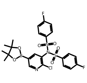 CC1(C)OB(c2cnc(Cl)c(N(S(=O)(=O)c3ccc(F)cc3)S(=O)(=O)c3ccc(F)cc3)c2)OC1(C)C